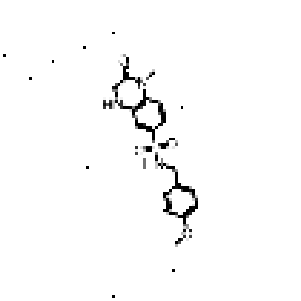 COc1ccc(CNS(=O)(=O)c2ccc3c(c2)NCC(=O)N3C)cc1